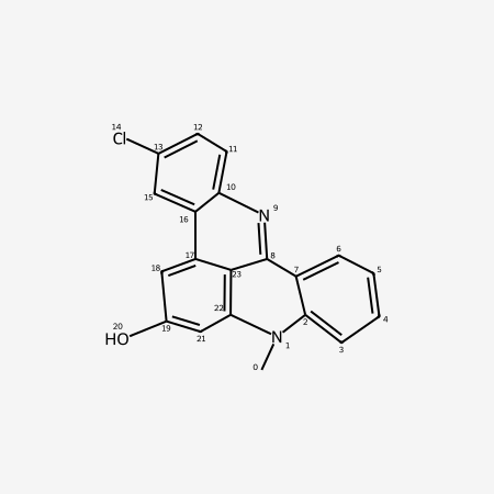 CN1c2ccccc2-c2nc3ccc(Cl)cc3c3cc(O)cc1c23